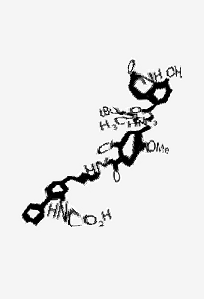 COc1cc(C(=O)NCCCCc2ccc(-c3ccccc3)c(NC(=O)O)c2)c(Cl)cc1CNC[C@H](O[Si](C)(C)C(C)(C)C)c1ccc(O)c2[nH]c(=O)ccc12